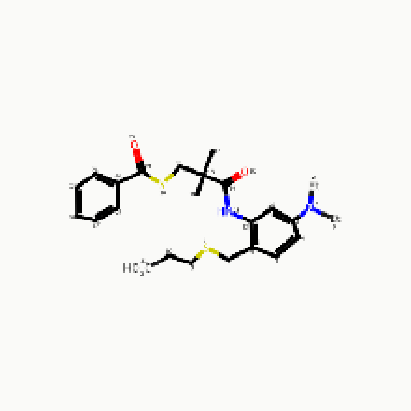 CCN(CC)c1ccc(CSCCC(=O)O)c(NC(=O)C(C)(C)CSC(=O)c2ccccc2)c1